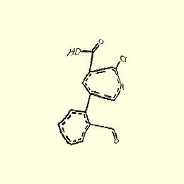 O=Cc1ccccc1-c1cnc(Cl)c(C(=O)O)c1